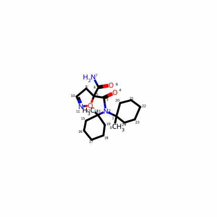 CC1(N(C(=O)C2(C(N)=O)CC=NO2)C2(C)CCCCC2)CCCCC1